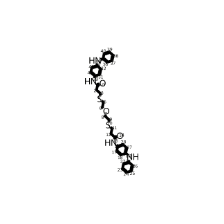 O=C(CCSCCOCCSCCC(=O)Nc1ccc(Nc2ccccc2)cc1)Nc1ccc(Nc2ccccc2)cc1